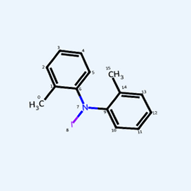 Cc1ccccc1N(I)c1ccccc1C